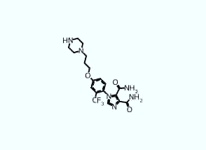 NC(=O)c1ncn(-c2ccc(OCCCN3CCNCC3)cc2C(F)(F)F)c1C(N)=O